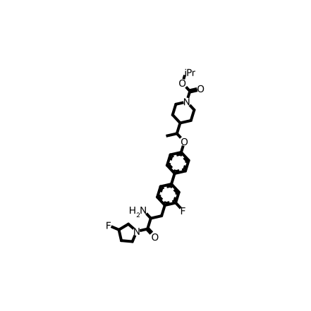 CC(C)OC(=O)N1CCC(C(C)Oc2ccc(-c3ccc(CC(N)C(=O)N4CCC(F)C4)c(F)c3)cc2)CC1